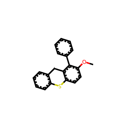 COc1ccc2c(c1-c1ccccc1)[CH]c1ccccc1S2